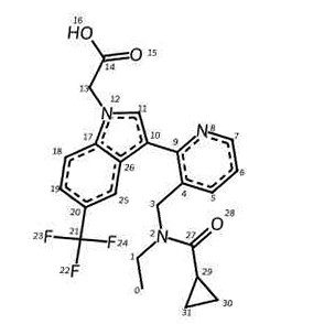 CCN(Cc1cccnc1-c1cn(CC(=O)O)c2ccc(C(F)(F)F)cc12)C(=O)C1CC1